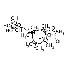 CCC1=C(C)c2cc3[nH]c(cc4nc(c(C)c5cc(C)c(cc1n2)[nH]5)[C@@H](CCC(=O)N(C)CCCO)[C@@H]4C)c(C)c3C(C)OCCCO[C@@H]1O[C@H](CO)[C@@H](O)[C@H](O)[C@H]1O